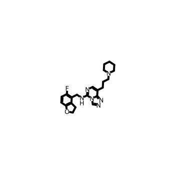 Fc1ccc2c(c1CNc1ncc(CCCN3CCCCC3)c3nncn13)CCO2